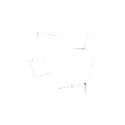 CCCCCCCCCCCC1SC1=S.S=C(S)SSS